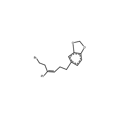 CC(C)C(=CCCc1ccc2c(c1)OCO2)CCBr